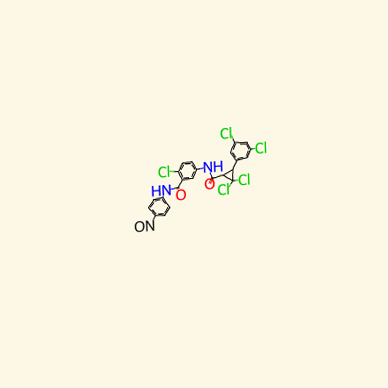 O=Nc1ccc(NC(=O)c2cc(NC(=O)C3C(c4cc(Cl)cc(Cl)c4)C3(Cl)Cl)ccc2Cl)cc1